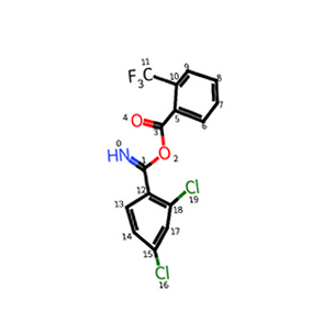 N=C(OC(=O)c1ccccc1C(F)(F)F)c1ccc(Cl)cc1Cl